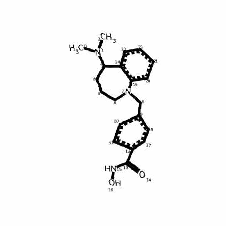 CN(C)C1CCCN(Cc2ccc(C(=O)NO)cc2)c2ccccc21